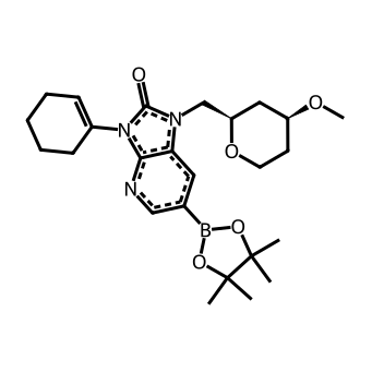 CO[C@H]1CCO[C@@H](Cn2c(=O)n(C3=CCCCC3)c3ncc(B4OC(C)(C)C(C)(C)O4)cc32)C1